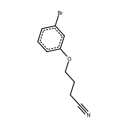 N#CCCCOc1cccc(Br)c1